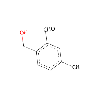 N#Cc1ccc(CO)c(C=O)c1